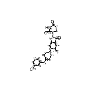 O=C1CCC(N2Cc3cc(N4CCN(Cc5cccc(Cl)c5)CC4)c(F)cc3C2=O)C(=O)N1